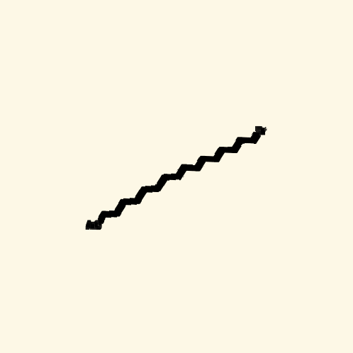 CC(=O)OCCCCCCCCCCCCCCCCBr